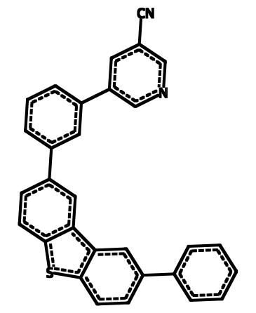 N#Cc1cncc(-c2cccc(-c3ccc4sc5ccc(-c6ccccc6)cc5c4c3)c2)c1